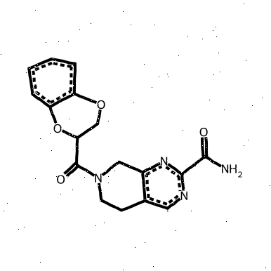 NC(=O)c1n[c]c2c(n1)CN(C(=O)C1COc3ccccc3O1)CC2